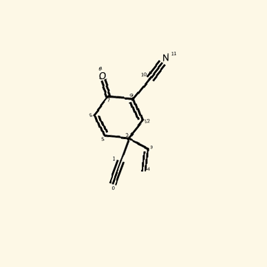 C#CC1(C=C)C=CC(=O)C(C#N)=C1